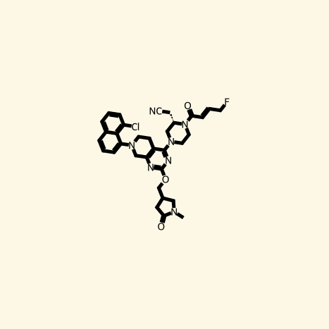 CN1CC(COc2nc3c(c(N4CCN(C(=O)/C=C/CF)[C@@H](CC#N)C4)n2)CCN(c2cccc4cccc(Cl)c24)C3)CC1=O